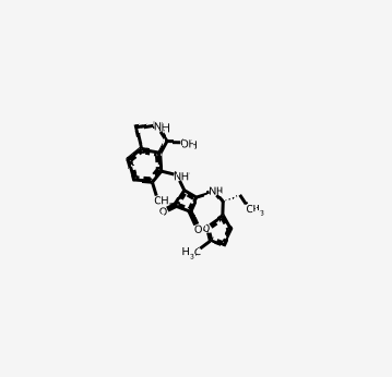 CC[C@@H](Nc1c(Nc2c(C)ccc3c2C(O)NC3)c(=O)c1=O)c1ccc(C)o1